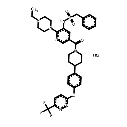 CCN1CCN(c2ncc(C(=O)N3CCC(c4ccc(Oc5ccc(C(F)(F)F)nn5)cc4)CC3)cc2NS(=O)(=O)Cc2ccccc2)CC1.Cl